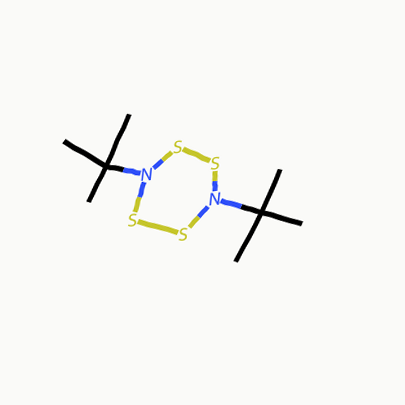 CC(C)(C)N1SSN(C(C)(C)C)SS1